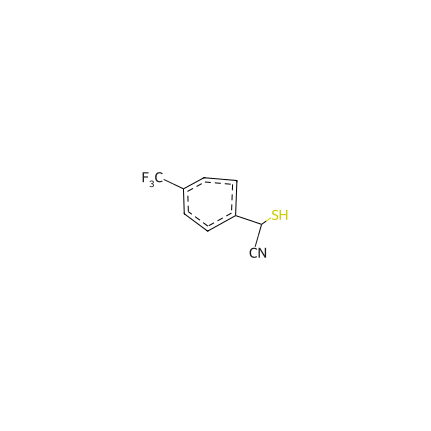 N#CC(S)c1ccc(C(F)(F)F)cc1